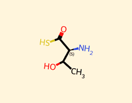 CC(O)[C@H](N)C(=O)S